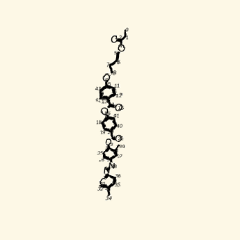 CCC(=O)OCCCCOc1ccc(C(=O)Oc2ccc(C(=O)Oc3ccc(N=Nc4ccc(C)cc4)cc3C)cc2)cc1